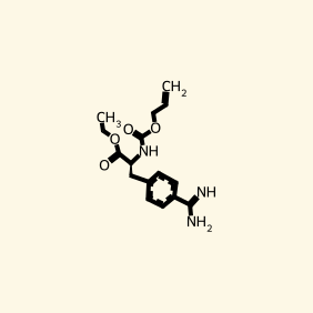 C=CCOC(=O)N[C@@H](Cc1ccc(C(=N)N)cc1)C(=O)OCC